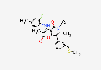 CSCc1cccc(-c2c(C)n(C3CC3)c(=O)c3c(Nc4ccc(C)cc4F)c(C)c(=O)oc23)c1